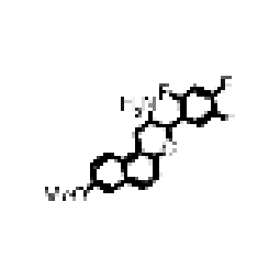 COc1ccc2c3c(ccc2c1)OC(c1cc(F)c(F)cc1F)C(N)C3